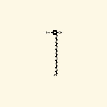 CCCCCCCCCc1ccc(O)c(OCCOCCOCCOCCOCCOCCOCCO)c1